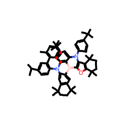 Cc1cc(C)c(-c2cc(C(C)C)ccc2N2c3cc4c(cc3B3c5oc6c(c5N(c5ccc(C(C)(C)C)cc5)c5cc(C(C)(C)C)cc2c53)C(C)(C)CCC6(C)C)C(C)(C)CCC4(C)C)c(C)c1